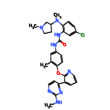 CNc1nccc(-c2cccnc2Oc2ccc(NC(=O)Nc3cc(Cl)ccc3N(C)C3CCN(C)C3)cc2C)n1